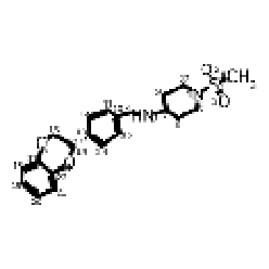 CS(=O)(=O)N1CCC(NCc2ccc([C@H]3COc4ccccc4O3)cc2)CC1